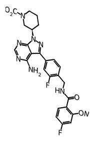 COc1cc(F)ccc1C(=O)NCc1ccc(-c2nn([C@@H]3CCCN(C(=O)O)C3)c3ncnc(N)c23)cc1F